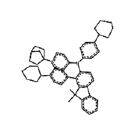 CC1(C)c2ccccc2-c2ccc(N(c3ccc(C4CCCCC4)cc3)c3ccc(C45CCC(CC4)C5)cc3)c(-c3ccc(C4CCCCC4)cc3)c21